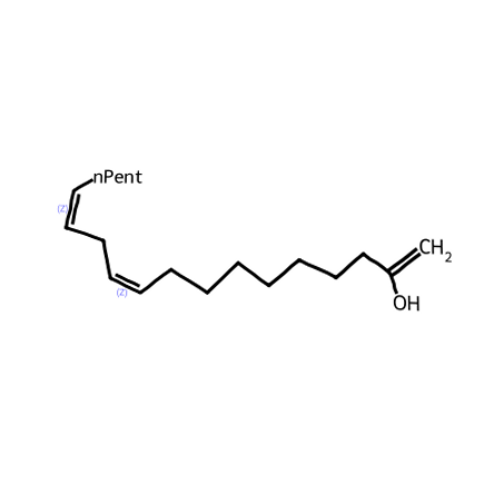 C=C(O)CCCCCCC/C=C\C/C=C\CCCCC